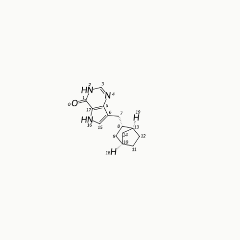 O=c1[nH]cnc2c(C[C@H]3C[C@@H]4CC[C@H]3C4)c[nH]c12